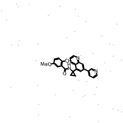 COc1ccc(C)c(C(=O)NC2(c3cc(-c4cccnc4)cc4ncccc34)CC2)c1